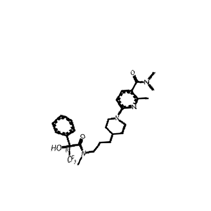 Cc1nc(N2CCC(CCCN(C)C(=O)[C@](O)(c3ccccc3)C(F)(F)F)CC2)ccc1C(=O)N(C)C